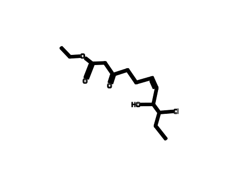 CCOC(=O)CC(=O)CC/C=C\C(O)C(Cl)CC